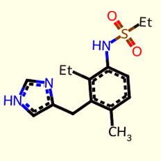 CCc1c(NS(=O)(=O)CC)ccc(C)c1Cc1c[nH]cn1